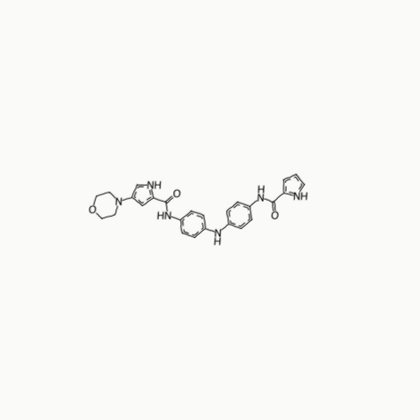 O=C(Nc1ccc(Nc2ccc(NC(=O)c3cc(N4CCOCC4)c[nH]3)cc2)cc1)c1ccc[nH]1